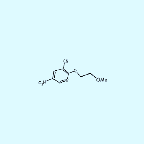 COCCOc1ncc([N+](=O)[O-])cc1C#N